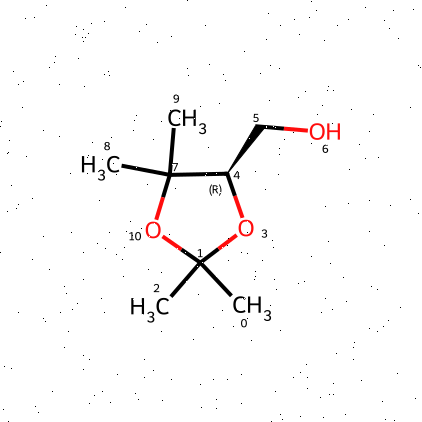 CC1(C)O[C@H](CO)C(C)(C)O1